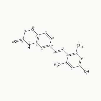 Cc1cc(O)cc(C)c1/C=C/c1ccc2c(c1)NC(=O)CO2